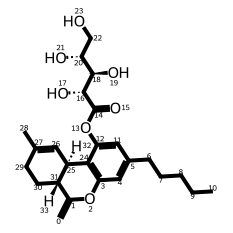 C=C1Oc2cc(CCCCC)cc(OC(=O)[C@H](O)[C@H](O)[C@H](O)CO)c2[C@@H]2C=C(C)CC[C@@H]12